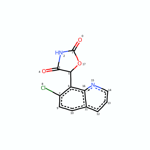 O=C1NC(=O)C(c2c(Cl)ccc3cccnc23)O1